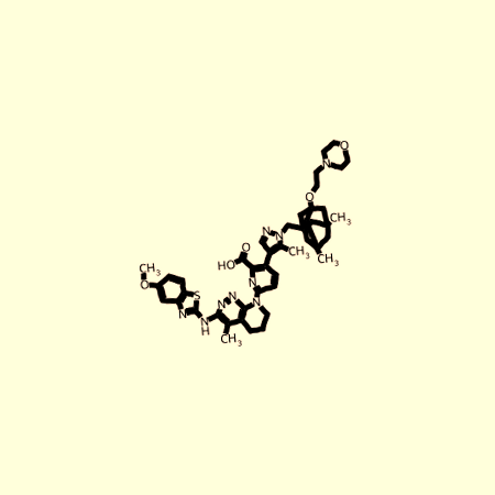 COc1ccc2sc(Nc3nnc4c(c3C)CCCN4c3ccc(-c4cnn(CC56CC7(C)CC(C)(C5)CC(OCCN5CCOCC5)(C7)C6)c4C)c(C(=O)O)n3)nc2c1